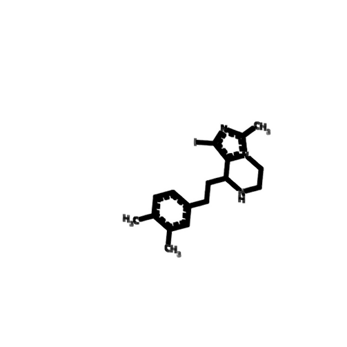 Cc1ccc(CCC2NCCn3c(C)nc(I)c32)cc1C